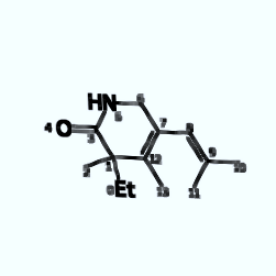 CCC1(C)C(=O)NCC(C=C(C)C)=C1C